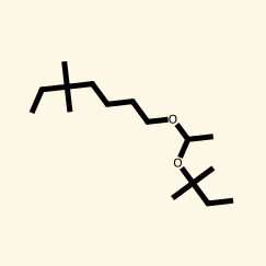 CCC(C)(C)CCCCOC(C)OC(C)(C)CC